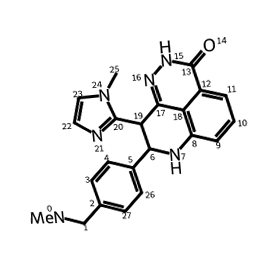 CNCc1ccc(C2Nc3cccc4c(=O)[nH]nc(c34)C2c2nccn2C)cc1